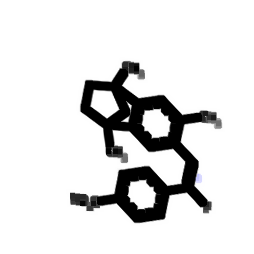 Cc1cc2c(cc1/C=C(/F)c1ccc(C(=O)O)cc1)C1(C)CCC2(C)C1